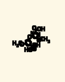 COc1cc(Oc2cc(OC)nc(C(=O)O)n2)cc(P(=O)(O)O)c1